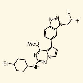 CCC1CCC(Nc2nc(OC)c3c(-c4ccc5nnn(CC(F)F)c5c4)ccn3n2)CC1